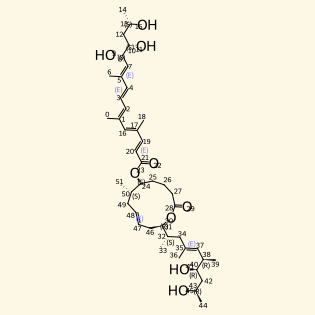 CC(=C/C=C/C(C)=C/[C@H](O)[C@@H](O)C[C@H](C)O)C=C(C)/C=C/C(=O)O[C@H]1CCCC(=O)O[C@@H]([C@@H](C)C/C(C)=C/[C@@H](C)[C@H](O)C[C@@H](C)O)C/C=C/C[C@@H]1C